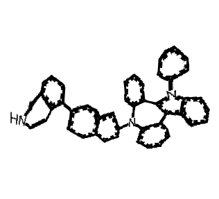 C1=Cc2c(cccc2-c2ccc3ccc(N4c5ccccc5-c5c(n(-c6ccccc6)c6ccccc56)-c5ccccc54)cc3c2)CN1